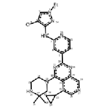 CCn1cc(Cl)c(Nc2cc(-c3nc(N4CCNC(C)(C)C4)c4c(C5CC5)cncc4n3)ccn2)n1